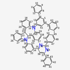 c1ccc(-c2cc(-c3ccccc3)cc(N3c4ccccc4C4c5ccccc5N(c5cccc(-c6cc(-c7ccccc7)nc(-c7ccccc7)n6)c5)C4c4ccccc43)c2)cc1